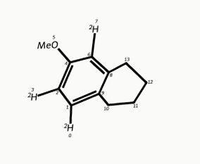 [2H]c1c([2H])c(OC)c([2H])c2c1CCCC2